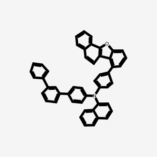 c1ccc(-c2cccc(-c3ccc(N(c4ccc(-c5cccc6oc7c8ccccc8ccc7c56)cc4)c4cccc5ccccc45)cc3)c2)cc1